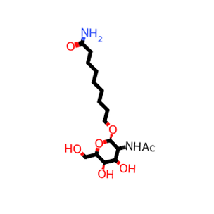 CC(=O)NC1C(O)[C@@H](O)C(CO)O[C@H]1OCCCCCCCCC(N)=O